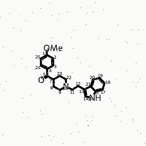 COc1ccc(C(=O)C2CCN(CCc3c[nH]c4ccccc34)CC2)cc1